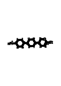 CCCC1CCC(C2CCC(C3CC=C(CC)OC3)CC2)CC1